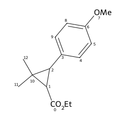 CCOC(=O)C1C(c2ccc(OC)cc2)C1(C)C